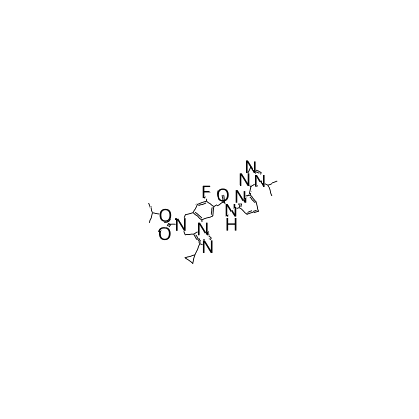 CC(C)OC(=O)N1Cc2cc(F)c(C(=O)Nc3cccc(-c4nncn4C(C)C)n3)cc2-n2cnc(C3CC3)c2C1